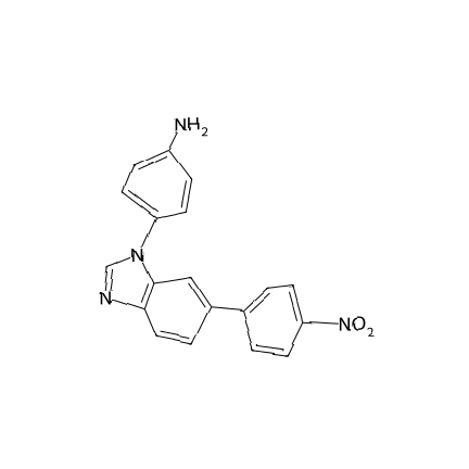 Nc1ccc(-n2cnc3ccc(-c4ccc([N+](=O)[O-])cc4)cc32)cc1